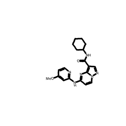 COc1ccnc(Nc2ccn3ncc(C(=O)NC4CCCCC4)c3n2)c1